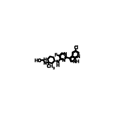 C[C@@]1(NCO)CCC[C@H](Nc2nc(-c3c[nH]c4ncc(Cl)cc34)ncc2F)C1